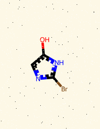 Oc1cnc(Br)[nH]1